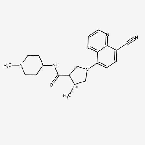 C[C@H]1CN(c2ccc(C#N)c3nccnc23)CC1C(=O)NC1CCN(C)CC1